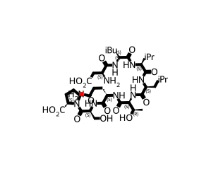 CC[C@H](C)[C@H](NC(=O)[C@@H](N)CC(=O)O)C(=O)N[C@H](C(=O)N[C@@H](CC(C)C)C(=O)N[C@H](C(=O)N[C@@H](CCC(N)=O)C(=O)N[C@@H](CO)C(=O)N1CCC[C@H]1C(=O)O)[C@@H](C)O)C(C)C